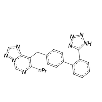 CCCc1ncn2ncnc2c1Cc1ccc(-c2ccccc2-c2nnn[nH]2)cc1